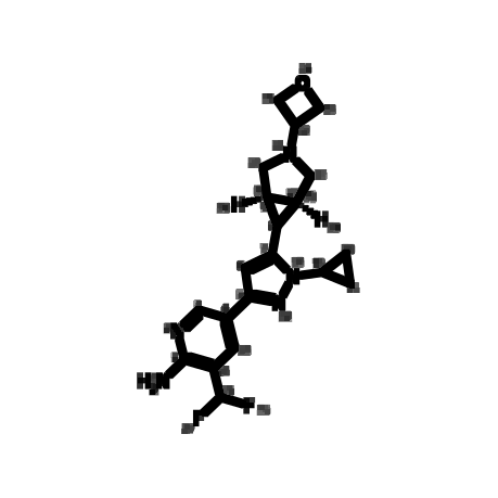 Nc1ncc(-c2cc(C3[C@H]4CN(C5COC5)C[C@@H]34)n(C3CC3)n2)cc1C(F)F